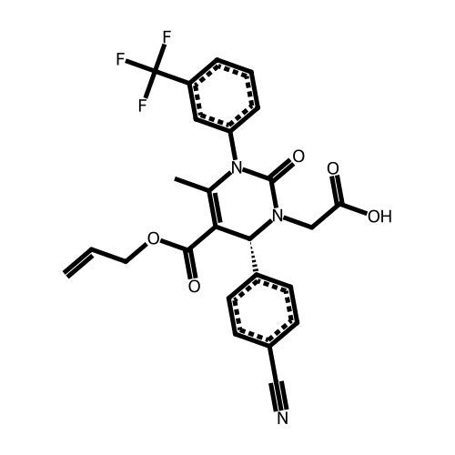 C=CCOC(=O)C1=C(C)N(c2cccc(C(F)(F)F)c2)C(=O)N(CC(=O)O)[C@@H]1c1ccc(C#N)cc1